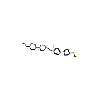 CCCC1CCC(C2CCC(CCc3ccc(-c4ccc(CCF)cc4)cc3F)CC2)CC1